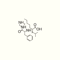 CCCCCC(CC(C)C)C(=O)O.NCNC(=O)C(N)Cc1ccccc1